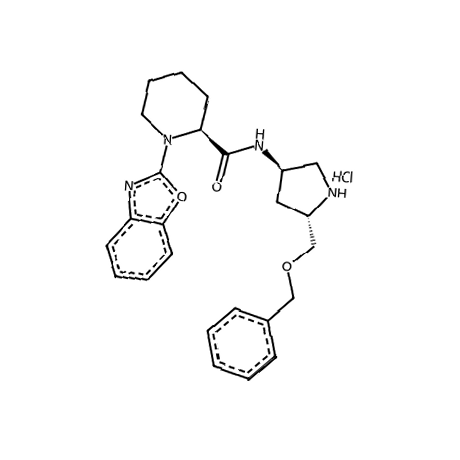 Cl.O=C(N[C@H]1CN[C@H](COCc2ccccc2)C1)[C@@H]1CCCCN1c1nc2ccccc2o1